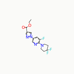 CCOC(=O)c1cnn(-c2cnc(N3CCC(F)(F)CC3)c(F)c2)c1